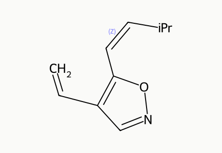 C=Cc1cnoc1/C=C\C(C)C